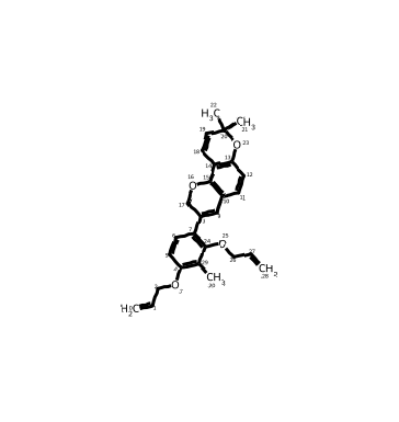 C=CCOc1ccc(C2=Cc3ccc4c(c3OC2)C=CC(C)(C)O4)c(OCC=C)c1C